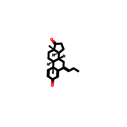 CC/C=C1\C[C@@H]2[C@H](CC[C@]3(C)C(=O)CC[C@@H]23)[C@@]2(C)C=CC(=O)C=C12